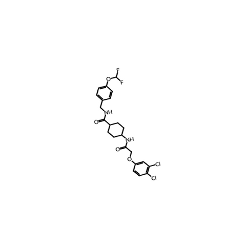 O=C(COc1ccc(Cl)c(Cl)c1)NC1CCC(C(=O)NCc2ccc(OC(F)F)cc2)CC1